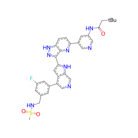 CC(C)(C)CC(=O)Nc1cncc(-c2ccc3[nH]nc(-c4cc5c(-c6cc(F)cc(CNS(C)(=O)=O)c6)cncc5[nH]4)c3n2)c1